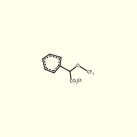 CCOC(=O)C(OC(F)(F)F)c1ccccc1